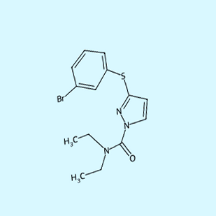 CCN(CC)C(=O)n1ccc(Sc2cccc(Br)c2)n1